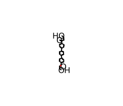 O=C(/C=C\O)c1ccc(-c2ccc(-c3ccc(C(=O)/C=C\O)cc3)cc2)cc1